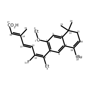 CCOc1cc2c(cc1\C(CC)=C(F)/C=C/C(C)=C/C(=O)O)C(C(C)(C)C)=CCC2(C)C